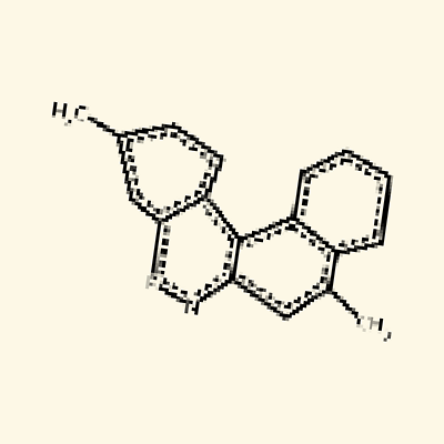 Cc1ccc2c(c1)pnc1cc(C)c3ccccc3c12